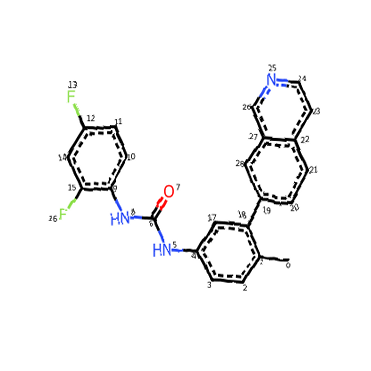 Cc1ccc(NC(=O)Nc2ccc(F)cc2F)cc1-c1ccc2ccncc2c1